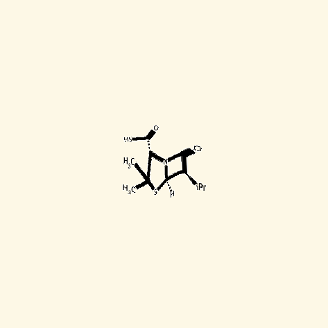 CC(C)[C@@H]1C(=O)N2[C@@H]1SC(C)(C)[C@@H]2C(=O)S